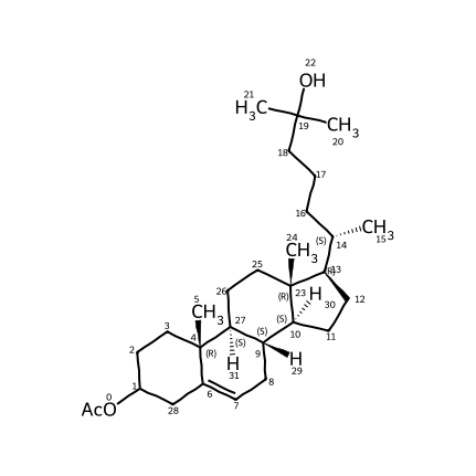 CC(=O)OC1CC[C@@]2(C)C(=CC[C@H]3[C@@H]4CC[C@H]([C@@H](C)CCCC(C)(C)O)[C@@]4(C)CC[C@@H]32)C1